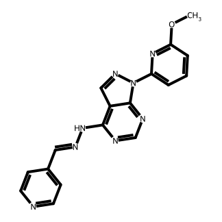 COc1cccc(-n2ncc3c(N/N=C/c4ccncc4)ncnc32)n1